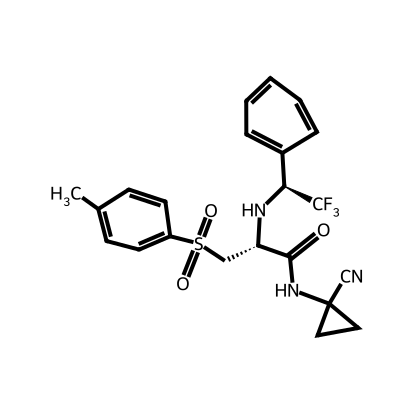 Cc1ccc(S(=O)(=O)C[C@H](N[C@@H](c2ccccc2)C(F)(F)F)C(=O)NC2(C#N)CC2)cc1